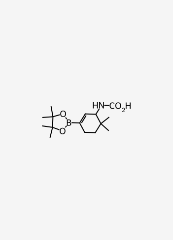 CC1(C)CCC(B2OC(C)(C)C(C)(C)O2)=CC1NC(=O)O